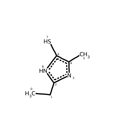 CCc1nc(C)c(S)[nH]1